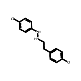 Clc1ccc(CCNNc2ccc(Cl)cc2)cc1